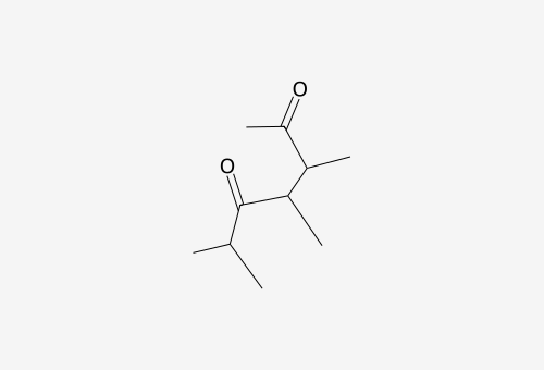 CC(=O)C(C)C(C)C(=O)C(C)C